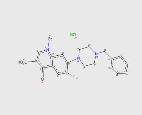 CCn1cc(C(=O)O)c(=O)c2cc(F)c(N3CCN(Cc4ccccc4)CC3)cc21.Cl